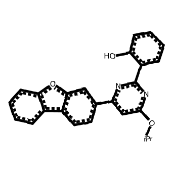 CC(C)Oc1cc(-c2ccc3c(c2)oc2ccccc23)nc(-c2ccccc2O)n1